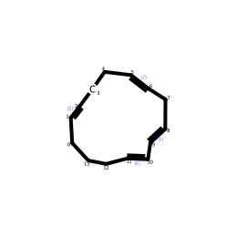 [CH]1/C=C/CC/C=C\C/C=C/C=C/CC1